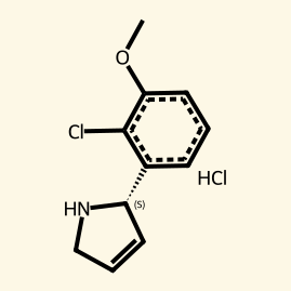 COc1cccc([C@@H]2C=CCN2)c1Cl.Cl